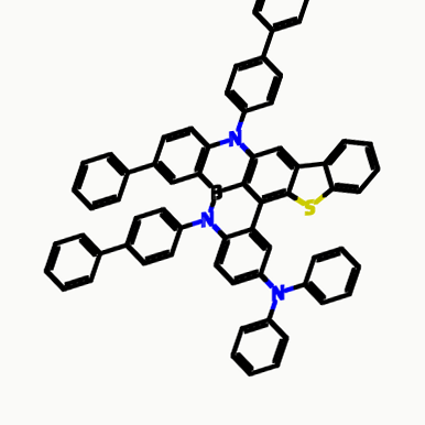 c1ccc(-c2ccc(N3B4c5cc(-c6ccccc6)ccc5N(c5ccc(-c6ccccc6)cc5)c5cc6c(sc7ccccc76)c(c54)-c4cc(N(c5ccccc5)c5ccccc5)ccc43)cc2)cc1